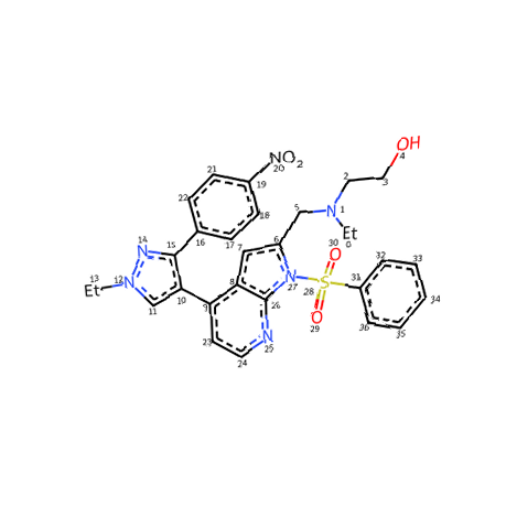 CCN(CCO)Cc1cc2c(-c3cn(CC)nc3-c3ccc([N+](=O)[O-])cc3)ccnc2n1S(=O)(=O)c1ccccc1